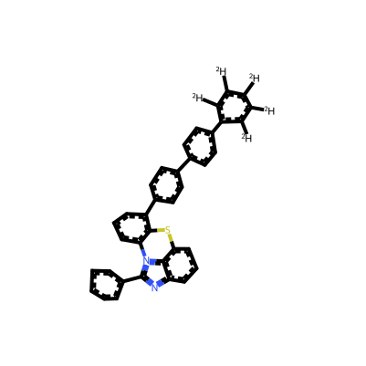 [2H]c1c([2H])c([2H])c(-c2ccc(-c3ccc(-c4cccc5c4Sc4cccc6nc(-c7ccccc7)n-5c46)cc3)cc2)c([2H])c1[2H]